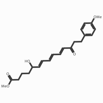 COC(=O)CCCC(O)C=CC=CC=CC(=O)CCc1ccc(OC)cc1